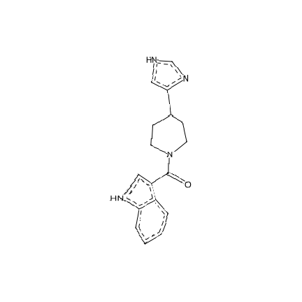 O=C(c1c[nH]c2ccccc12)N1CCC(c2c[nH]cn2)CC1